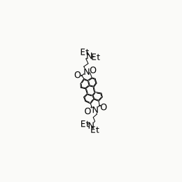 CCN(CC)CCCN1C(=O)c2ccc3c4ccc5c6c(ccc(c7ccc(c2c37)C1=O)c64)C(=O)N(CCCN(CC)CC)C5=O